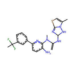 C=C(NC1N=C2SC=C(C)N2N1)N(C)c1nc(-c2cccc(C(C)(F)F)c2)ccc1N